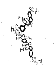 Cc1cc(C(=O)Nc2ccc3cc(S(=O)(=O)O)ccc3c2O)ccc1NC(=O)Nc1ccc(C(=O)Nc2ccc3cc(S(=O)(=O)O)ccc3c2O)cc1C